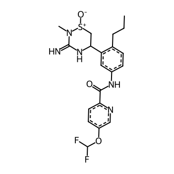 CCCc1ccc(NC(=O)c2ccc(OC(F)F)cn2)cc1C1C[S+]([O-])N(C)C(=N)N1